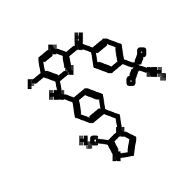 Cc1nccn1Cc1ccc(Nc2nc(Nc3ccc(S(N)(=O)=O)cc3)ncc2F)cc1